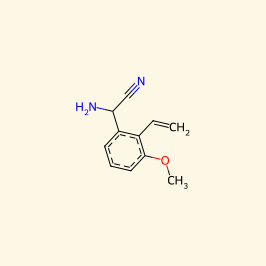 C=Cc1c(OC)cccc1C(N)C#N